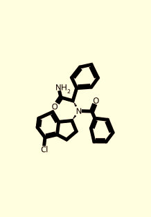 NC(=O)[C@H](c1ccccc1)N(C(=O)c1ccccc1)[C@@H]1CCc2c(Cl)cccc21